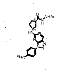 CCOc1ccc(-n2nnc3cnc(N[C@@H]4CC[C@@H](C(=O)NNC(C)=O)C4)nc32)cc1